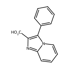 O=C(O)c1nc2ccccn2c1-c1ccccc1